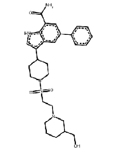 NC(=O)c1cc(-c2ccccc2)cc2c(C3CCN(S(=O)(=O)CCN4CCCC(CO)C4)CC3)c[nH]c12